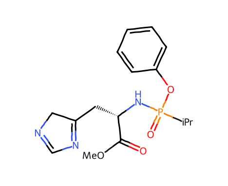 COC(=O)[C@H](CC1=NC=NC1)NP(=O)(Oc1ccccc1)C(C)C